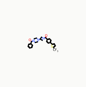 O=C(c1ccccc1)N1CCN(C2CN(C(=O)c3ccc(-c4ccc(C(F)(F)F)s4)cc3)C2)CC1